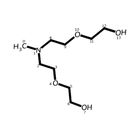 CN(CCOCCO)CCOCCO